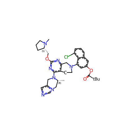 C[C@@H]1Cn2cncc2CN1c1nc(OC[C@@H]2CCCN2C)nc2c1CCN(c1cc(OC(=O)C(C)(C)C)cc3cccc(Cl)c13)C2